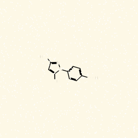 Cc1cc(O)n(-c2ccc(S(=O)(=O)O)cc2)n1